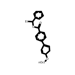 CCCCCCCCOC1C=CC(c2ccc(C(=O)OC(CC)c3ccccc3)cc2)=CC1